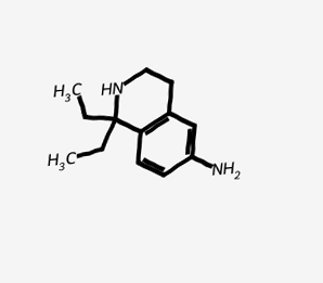 CCC1(CC)NCCc2cc(N)ccc21